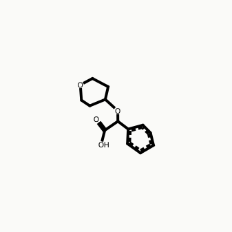 O=C(O)C(OC1CCOCC1)c1ccccc1